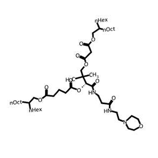 CCCCCCCCC(CCCCCC)COC(=O)CCCC(=O)O[C@@H](C(=O)NCCC(=O)NCCN1CCOCC1)C(C)(C)COC(=O)CC(=O)OCC(CCCCCC)CCCCCCCC